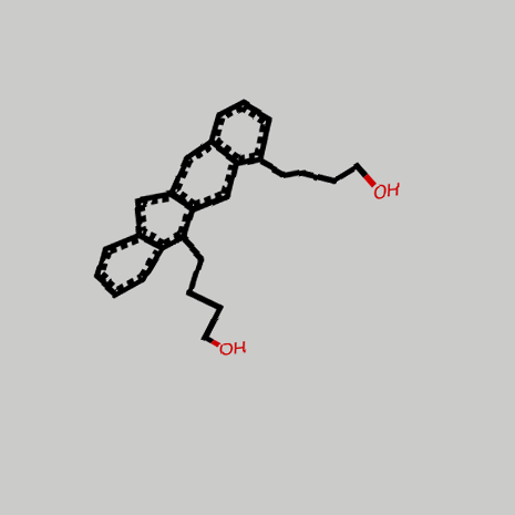 OCCCCc1cccc2cc3cc4ccccc4c(CCCCO)c3cc12